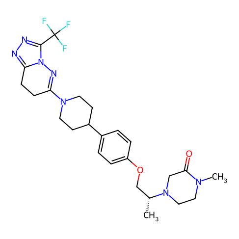 C[C@H](COc1ccc(C2CCN(C3=Nn4c(nnc4C(F)(F)F)CC3)CC2)cc1)N1CCN(C)C(=O)C1